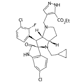 CCOC(=O)c1[nH]ncc1CN1CC[C@H]2[C@@H]1[C@H](c1cccc(Cl)c1F)[C@]1(C(=O)Nc3cc(Cl)ccc31)N2CC1CC1